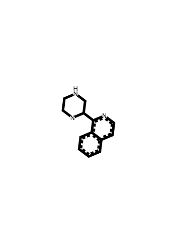 c1ccc2c(C3CNCC[N]3)nccc2c1